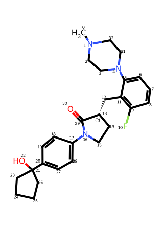 CN1CCN(c2cccc(F)c2C[C@@H]2CCN(c3ccc(C4(O)CCCC4)cc3)C2=O)CC1